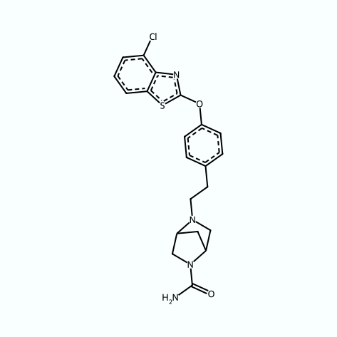 NC(=O)N1CC2CC1CN2CCc1ccc(Oc2nc3c(Cl)cccc3s2)cc1